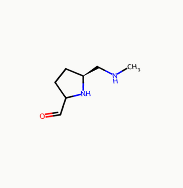 CNC[C@@H]1CCC(C=O)N1